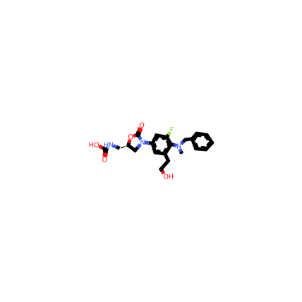 CN(Cc1ccccc1)c1c(F)cc(N2C[C@H](CNC(=O)O)OC2=O)cc1CCO